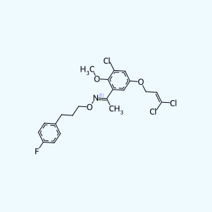 COc1c(Cl)cc(OCC=C(Cl)Cl)cc1/C(C)=N/OCCCc1ccc(F)cc1